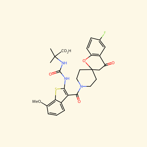 COc1cccc2c(C(=O)N3CCC4(CC3)CC(=O)c3cc(F)ccc3O4)c(NC(=O)NC(C)(C)C(=O)O)sc12